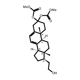 COC(=O)OC1(OC(=O)OC)CC[C@@]2(C)C(=CC=C3[C@@H]4CC[C@H](CCO)[C@@]4(C)CC[C@@H]32)C1